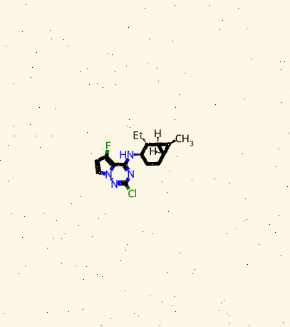 CC[C@@H]1[C@H]2[C@@H](C)[C@H]2CC[C@H]1Nc1nc(Cl)nn2ccc(F)c12